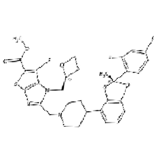 COC(=O)c1sc2nc(CN3CCC(c4cccc5c4O[C@](C)(c4ccc(Cl)cc4F)O5)CC3)n(C[C@@H]3CCO3)c2c1F